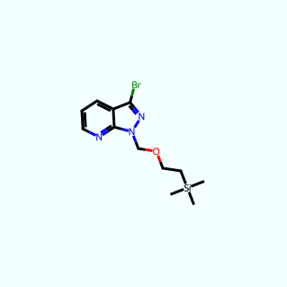 C[Si](C)(C)CCOCn1nc(Br)c2cccnc21